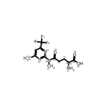 Cc1cc(C(F)(F)F)nc(N(C)C(=O)CC[C@H](N)C(=O)O)n1